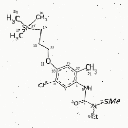 CCN(SC)C(=O)Nc1cc(Cl)c(OCCC[Si](C)(C)C)cc1C